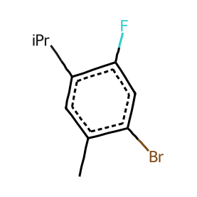 Cc1cc(C(C)C)c(F)cc1Br